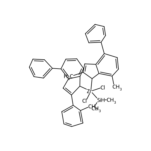 CC1=Cc2c(-c3ccccc3)ccc(C)c2[CH]1[Zr]([Cl])([Cl])([CH]1C(c2ccccc2C)=Cc2c(-c3ccccc3)cccc21)[SiH](C)C